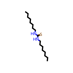 CCCCCCCCNC(=S)NCCCCCCCC